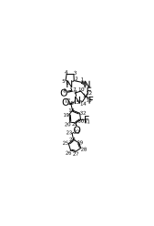 N#CC1CCCN1C(=O)[C@@H]1CC(F)(F)CN1C(=O)c1ccc(OCc2ccccc2)c(F)c1